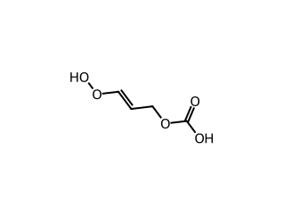 O=C(O)OCC=COO